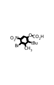 Cc1c(Br)c([N+](=O)[O-])cc(OC(=O)O)c1C(C)(C)C